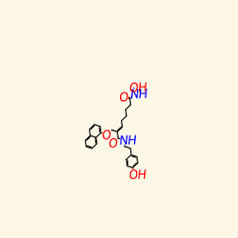 O=C(CCCC/C=C(\COc1cccc2ccccc12)C(=O)NCCc1ccc(O)cc1)NO